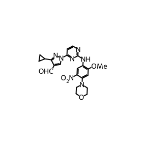 COc1cc(N2CCOCC2)c([N+](=O)[O-])cc1Nc1nccc(-n2cc(C=O)c(C3CC3)n2)n1